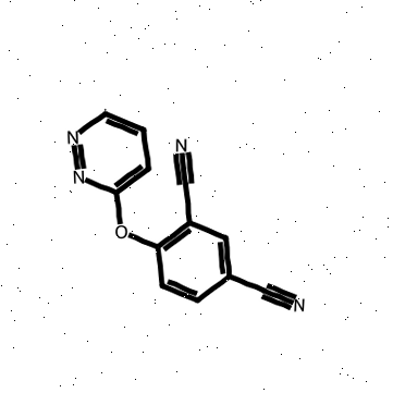 N#Cc1ccc(Oc2cc[c]nn2)c(C#N)c1